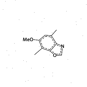 COc1cc(C)c2ncoc2c1C